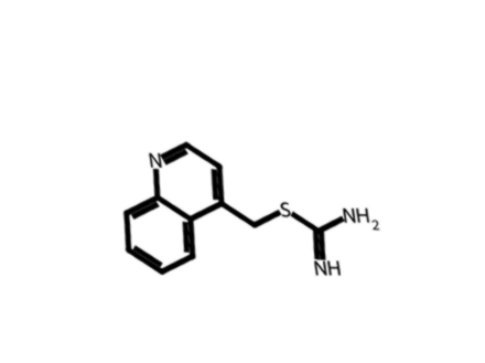 N=C(N)SCc1ccnc2ccccc12